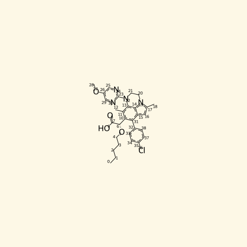 CCCCCO[C@H](C(=O)O)c1c(C)c2c3c(cc(C)n3CCN2c2ncc(OC)cn2)c1-c1ccc(Cl)cc1